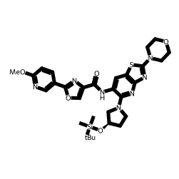 COc1ccc(-c2nc(C(=O)Nc3cc4sc(N5CCOCC5)nc4nc3N3CC[C@@H](O[Si](C)(C)C(C)(C)C)C3)co2)cn1